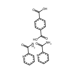 NC(=O)c1ccccn1.NC(=O)c1ccccn1.O=C(O)c1ccc(C(=O)O)cc1